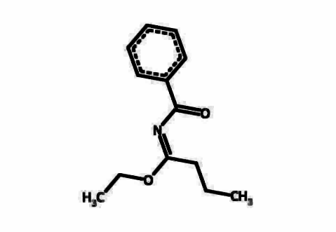 CCC/C(=N\C(=O)c1ccccc1)OCC